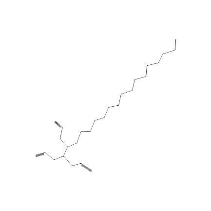 C=CC[C](CC=C)C(CC=C)CCCCCCCCCCCCCCCC